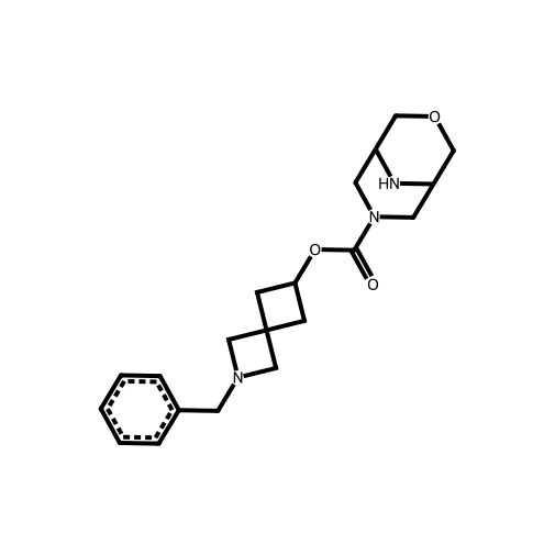 O=C(OC1CC2(C1)CN(Cc1ccccc1)C2)N1CC2COCC(C1)N2